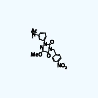 COc1nn(-c2cccc(N(C)C(C)=O)c2)c(=O)n(Cc2ccc([N+](=O)[O-])cc2)c1=O